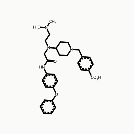 CN(C)CCN(CC(=O)Nc1ccc(Oc2ccccc2)cc1)C1CCN(Cc2ccc(C(=O)O)cc2)CC1